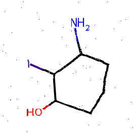 NC1CCCC(O)C1I